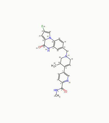 CNC(=O)c1ccc(C2=CCN(Cc3ccc4c(c3)[nH]c(=O)c3cc(F)cn34)CC2C)cn1